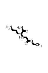 CCOC(=O)CN[C@@H](CCCN)C(N)=O